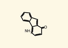 N.O=C1C=CC=C2C1=Cc1ccccc12